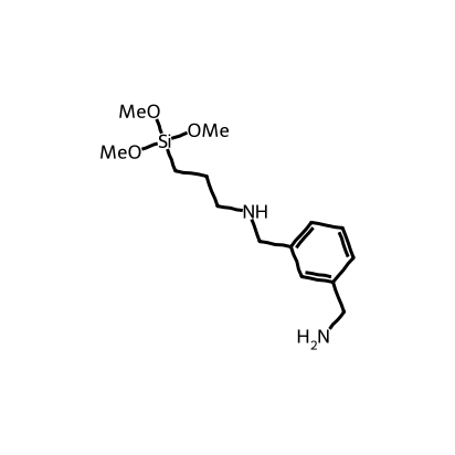 CO[Si](CCCNCc1cccc(CN)c1)(OC)OC